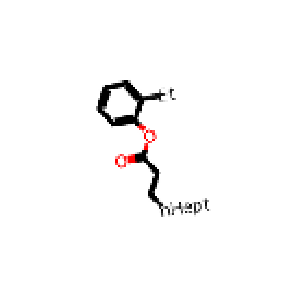 CCCCCCCCCC(=O)Oc1ccccc1CC